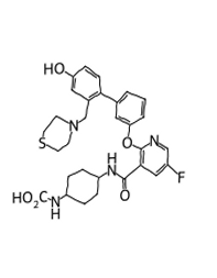 O=C(O)NC1CCC(NC(=O)c2cc(F)cnc2Oc2cccc(-c3ccc(O)cc3CN3CCSCC3)c2)CC1